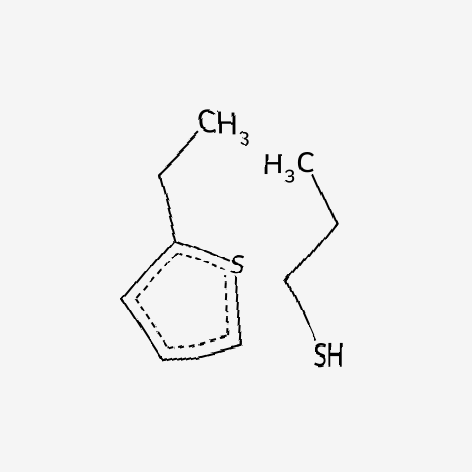 CCCS.CCc1cccs1